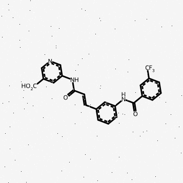 O=C(C=Cc1cccc(NC(=O)c2cccc(C(F)(F)F)c2)c1)Nc1cncc(C(=O)O)c1